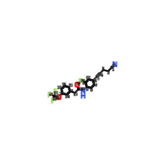 N#CCCC#Cc1ccc(NC(=O)Cc2cccc(OC(F)(F)F)c2)c(F)c1